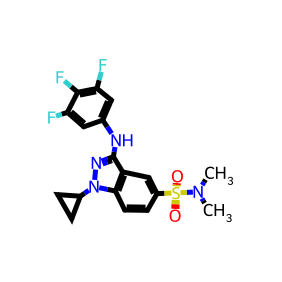 CN(C)S(=O)(=O)c1ccc2c(c1)c(Nc1cc(F)c(F)c(F)c1)nn2C1CC1